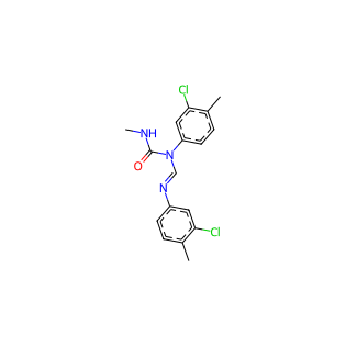 CNC(=O)N(C=Nc1ccc(C)c(Cl)c1)c1ccc(C)c(Cl)c1